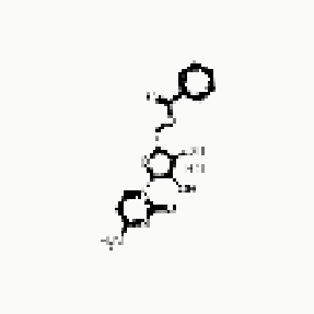 Cl.Nc1ccn([C@@H]2O[C@H](COC(=O)c3ccccc3)[C@@H](O)[C@@H]2O)c(=O)n1